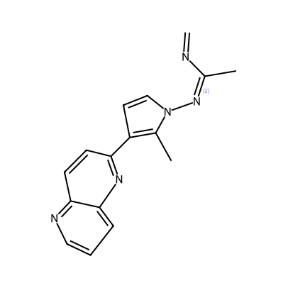 C=N/C(C)=N\n1ccc(-c2ccc3ncccc3n2)c1C